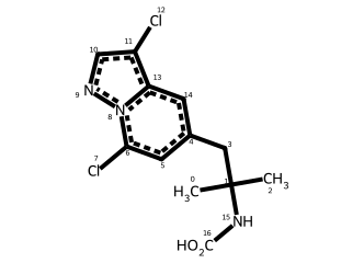 CC(C)(Cc1cc(Cl)n2ncc(Cl)c2c1)NC(=O)O